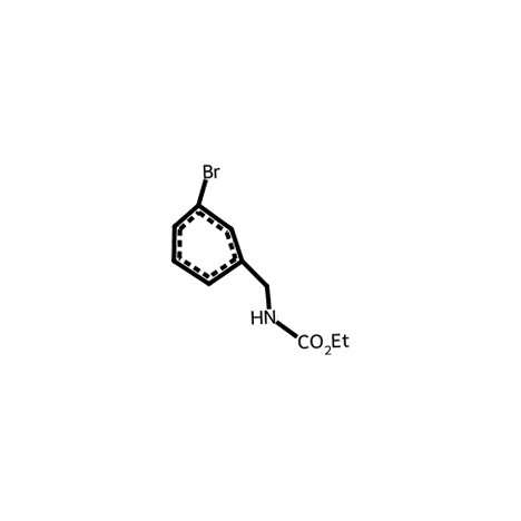 CCOC(=O)NCc1cccc(Br)c1